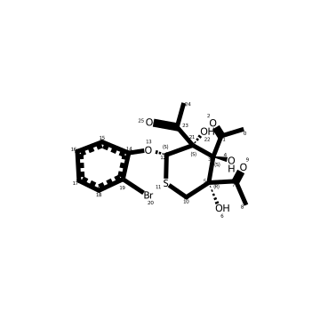 CC(=O)[C@]1(O)[C@@](O)(C(C)=O)CS[C@H](Oc2ccccc2Br)[C@@]1(O)C(C)=O